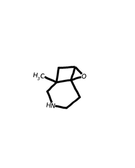 CC12CNCCC13OC3C2